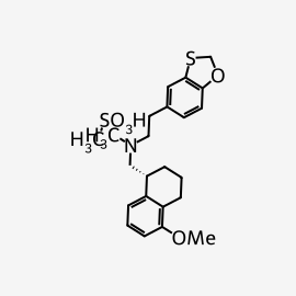 COc1cccc2c1CCC[C@H]2CN(C)CCc1ccc2c(c1)SCO2.CS(=O)(=O)O